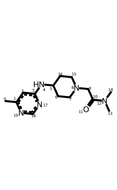 Cc1cc(NC2CCN(CC(=O)N(C)C)CC2)ncn1